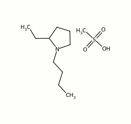 CCCCN1CCCC1CC.CS(=O)(=O)O